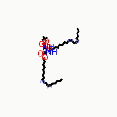 CCCCC/C=C\C/C=C\CCCCCCCCOC(=O)[C@H](CNC(=O)OC(C)(C)C)NC(=O)CCCCCCC/C=C\C/C=C\CCCCC